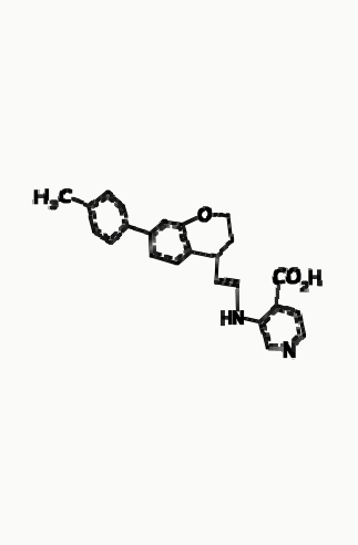 Cc1ccc(-c2ccc3c(c2)OCCC3/C=C/Nc2cnccc2C(=O)O)cc1